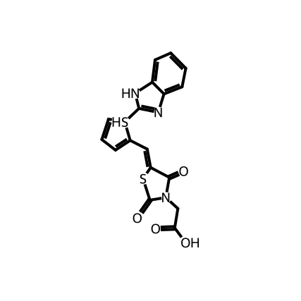 O=C(O)CN1C(=O)S/C(=C\C2=CC=C[SH]2c2nc3ccccc3[nH]2)C1=O